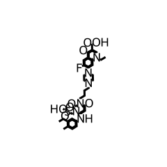 CCc1cc(Nc2cc(=O)n(CCCCN3CCN(c4cc5c(cc4F)c(=O)c(C(=O)O)cn5CC)CC3)c(=O)n2CS(=O)(=O)O)ccc1C